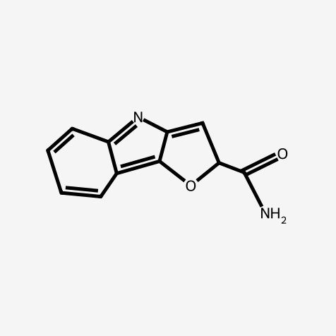 NC(=O)C1C=C2N=c3ccccc3=C2O1